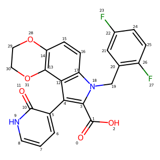 O=C(O)c1c(-c2ccc[nH]c2=O)c2c3c(ccc2n1Cc1cc(F)ccc1F)OCCO3